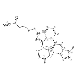 COC(=O)CCCCn1nc(C2CCNCC2)c2c(-c3cc4c(cnn4C)cc3F)cccc21